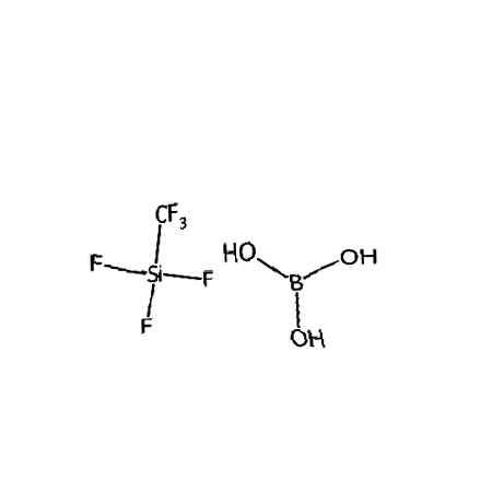 FC(F)(F)[Si](F)(F)F.OB(O)O